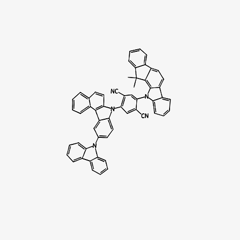 CC1(C)c2ccccc2-c2ccc3c4ccccc4n(-c4cc(C#N)c(-n5c6ccc(-n7c8ccccc8c8ccccc87)cc6c6c7ccccc7ccc65)cc4C#N)c3c21